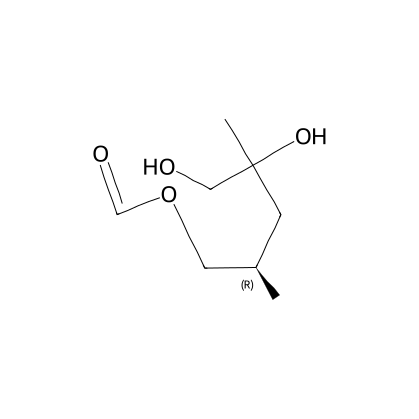 C[C@@H](COC=O)CC(C)(O)CO